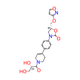 O=C([C@@H](O)CO)N1CC=C(c2ccc(N3C[C@H](COc4ccon4)OC3=O)cc2)CC1